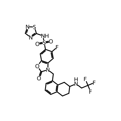 O=c1oc2cc(S(=O)(=O)Nc3ncns3)c(F)cc2n1Cc1cccc2c1CC(NCC(F)(F)F)CC2